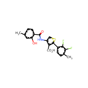 Cc1ccc(C(=O)Nc2csc(-c3ccc(C)c(F)c3F)c2C(=O)O)c(O)c1